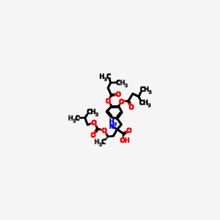 CC(C)COC(=O)O[C@@H](C)CC(N)(Cc1ccc(OC(=O)CC(C)C)c(OC(=O)CC(C)C)c1)C(=O)O